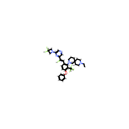 CCN1CCC2(CCCN(c3c(/C=C(\F)c4cncc(N5CC(F)(F)C5)n4)ccc(Oc4ccccc4)c3C(F)(F)F)C2)CC1